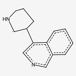 [CH]1NCCCC1c1cncc2ccccc12